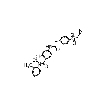 CCN(C(=O)c1ccc(NC(=O)Cc2ccc(S(=O)(=O)CC3CC3)cc2)cc1Cl)c1ccccc1C